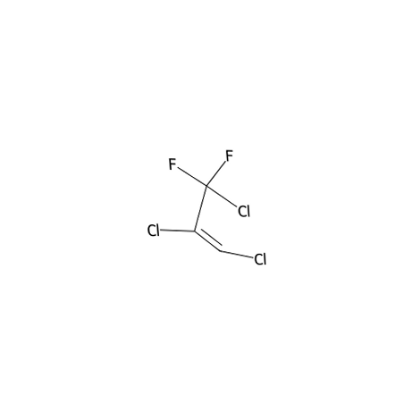 FC(F)(Cl)/C(Cl)=C\Cl